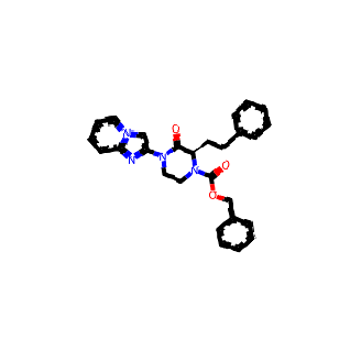 O=C1[C@@H](CCc2ccccc2)N(C(=O)OCc2ccccc2)CCN1c1cn2ccccc2n1